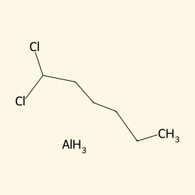 CCCCCC(Cl)Cl.[AlH3]